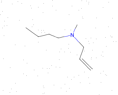 C=CCN(C)CCCC